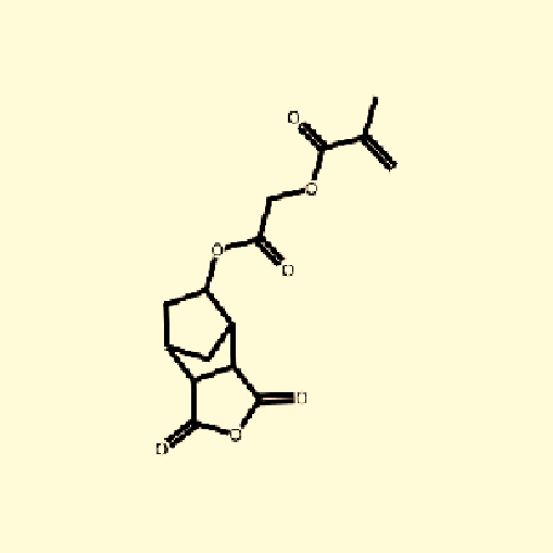 C=C(C)C(=O)OCC(=O)OC1CC2CC1C1C(=O)OC(=O)C21